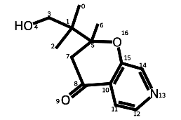 CC(C)(CO)C1(C)CC(=O)c2ccncc2O1